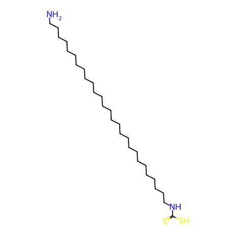 NCCCCCCCCCCCCCCCCCCCCCCCCCCCNC(=S)S